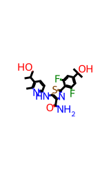 Cc1nc(Nc2sc(-c3c(F)cc(C(C)(C)O)cc3F)nc2C(N)=O)ccc1C(C)CO